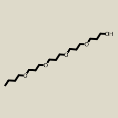 CCCCOCCCOCCCOCCCOCCCO